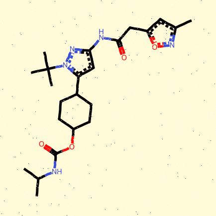 Cc1cc(CC(=O)Nc2cc(C3CCC(OC(=O)NC(C)C)CC3)n(C(C)(C)C)n2)on1